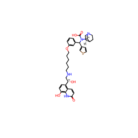 O=C(O)N(C(c1ccsc1)c1cccc(OCCCCCCNC[C@H](O)c2ccc(O)c3[nH]c(=O)ccc23)c1)[C@H]1CN2CCC1CC2